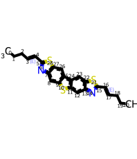 CCC/C=C/c1nc2cc3sc4cc5nc(/C=C/CCC)sc5cc4c3cc2s1